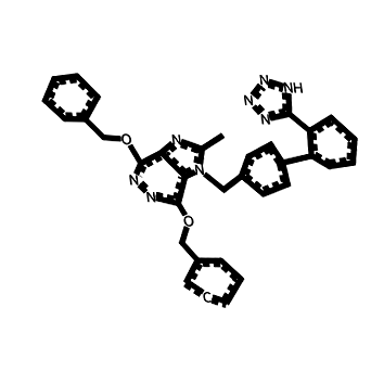 Cc1nc2c(OCc3ccccc3)nnc(OCc3ccccc3)c2n1Cc1ccc(-c2ccccc2-c2nnn[nH]2)cc1